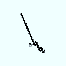 CCCCCCCCCCCCCCCCCCCCCCN1C=CC(C=Cc2ccc(N(C)C)cc2)=CC1Br